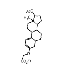 CCOC(=O)COC1=CC=C2C(CCC3C2CCC2(C)C(OC(C)=O)CCC32)C1